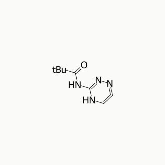 CC(C)(C)C(=O)NC1=NN=C=CN1